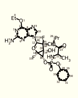 CCOc1nc(N)nc2c1ncn2[C@@H]1O[C@]2(F)[C@@H](O[P@@](=O)(NC(C)C(=O)OC(C)C)Oc3ccccc3)[C@]2(O)[C@@]1(C)F